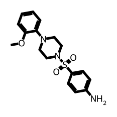 COc1ccccc1N1CCN(S(=O)(=O)c2ccc(N)cc2)CC1